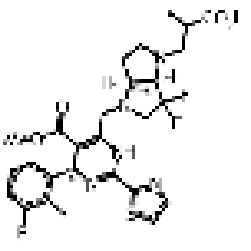 COC(=O)C1=C(CN2CC(F)(F)[C@H]3[C@@H]2CCN3CC(C)C(=O)O)NC(c2nccs2)=N[C@H]1c1cccc(F)c1C